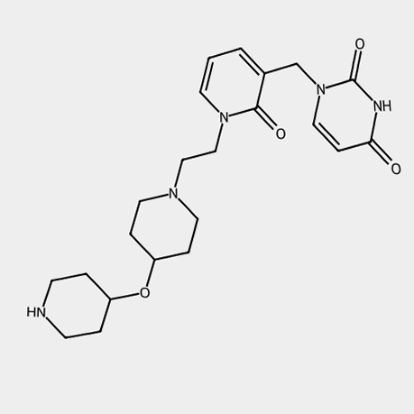 O=c1ccn(Cc2cccn(CCN3CCC(OC4CCNCC4)CC3)c2=O)c(=O)[nH]1